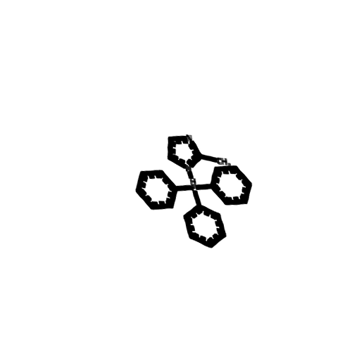 Cc1nccn1[PH](c1ccccc1)(c1ccccc1)c1ccccc1